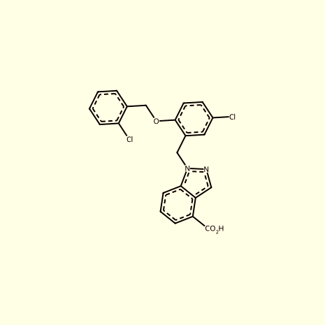 O=C(O)c1cccc2c1cnn2Cc1cc(Cl)ccc1OCc1ccccc1Cl